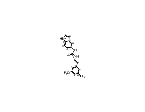 O=C(N/C=C/c1cc(C(F)(F)F)cc(C(F)(F)F)c1)Nc1ccc2[nH]ccc2c1